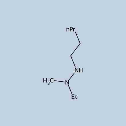 CCCCCNN(C)CC